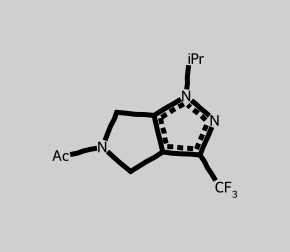 CC(=O)N1Cc2c(C(F)(F)F)nn(C(C)C)c2C1